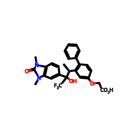 CC(c1cc(OCC(=O)O)ccc1-c1ccccc1)C(O)(c1ccc2c(c1)n(C)c(=O)n2C)C(F)(F)F